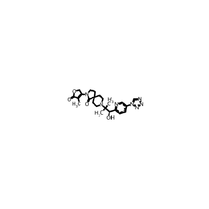 CC1=C(N2CCC3(CCN(C(C)(C)[C@H](O)c4ccc(-n5cnnn5)cn4)CC3)C2=O)COC1=O